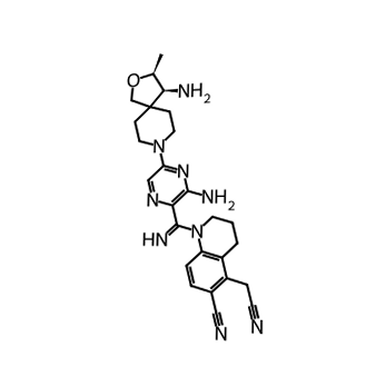 C[C@@H]1OCC2(CCN(c3cnc(C(=N)N4CCCc5c4ccc(C#N)c5CC#N)c(N)n3)CC2)[C@@H]1N